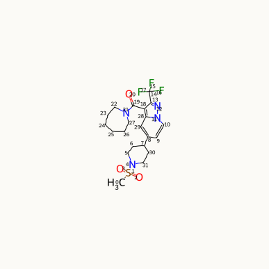 CS(=O)(=O)N1CCC(c2ccn3nc(C(F)(F)F)c(C(=O)N4CCCCCC4)c3c2)CC1